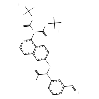 C=Cc1cccc(C(Nc2ccc3c(N(C(=O)OC(C)(C)C)C(=O)OC(C)(C)C)nccc3c2)C(=O)O)c1